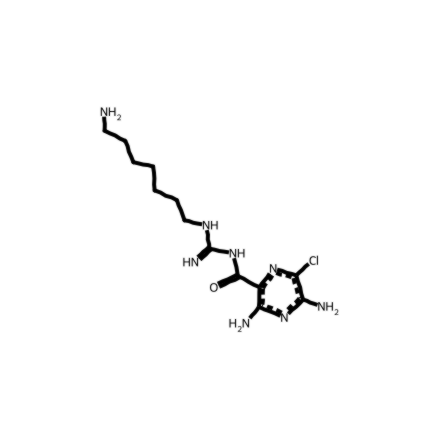 N=C(NCCCCCCCN)NC(=O)c1nc(Cl)c(N)nc1N